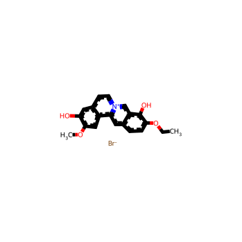 CCOc1ccc2cc3c4cc(OC)c(O)cc4cc[n+]3cc2c1O.[Br-]